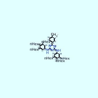 [CH2]c1ccc(-c2nc(Nc3cc(CCCCCC)c(CCCCCC)c(CCCCCC)c3)nc(Nc3cc(CCCCCC)c(CCCCCC)c(CCCCCC)c3)n2)cc1